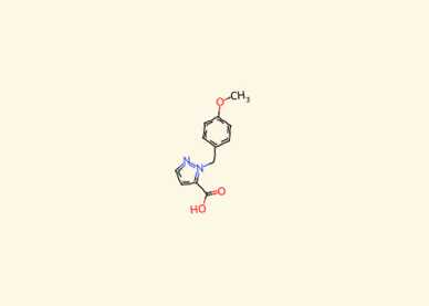 COc1ccc(Cn2nccc2C(=O)O)cc1